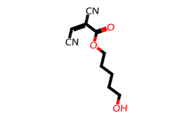 N#CC=C(C#N)C(=O)OCCCCCO